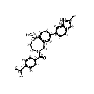 Cc1nc2ccc(-c3ccc4c(c3)CN(C(=O)c3ccc(C(C)C)cc3)CCO4)cc2[nH]1.Cl